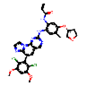 C=CC(=O)Nc1cc(O[C@@H]2CCOC2)c(C)cc1Nc1ncc2cc(-c3c(Cl)c(OC)cc(OC)c3Cl)c3nccn3c2n1